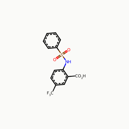 O=C(O)c1cc(C(F)(F)F)ccc1NS(=O)(=O)c1ccccc1